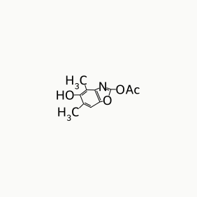 CC(=O)Oc1nc2c(C)c(O)c(C)cc2o1